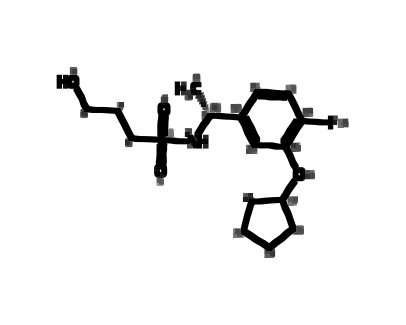 C[C@@H](NS(=O)(=O)CCCO)c1ccc(F)c(OC2CCCC2)c1